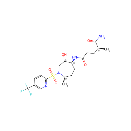 C[C@@H]1CC[C@H](NC(=O)[CH]C[C@H](C)C(N)=O)[C@@H](O)CN1S(=O)(=O)c1ccc(C(F)(F)F)cn1